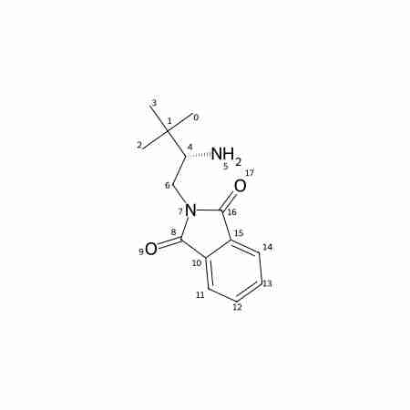 CC(C)(C)[C@H](N)CN1C(=O)c2ccccc2C1=O